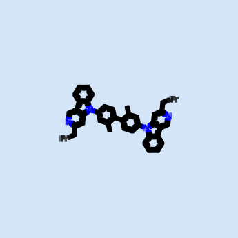 Cc1cc(-n2c3ccccc3c3cnc(CC(C)C)cc32)ccc1-c1ccc(-n2c3ccccc3c3cnc(CC(C)C)cc32)cc1C